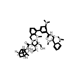 COc1c(CN2O[C@@H](CO)[C@@H]([C@H](C)O)[C@H]2C(=O)N[C@H]2C[C@H]3C[C@@H]([C@@H]2C)C3(C)C)cccc1-c1cc(C(=O)N[C@H](CN(C)C)[C@H](OC)C2C=CC=CC2)cc(N(C)C)c1